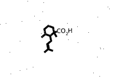 CC(C)=CCC1C(C)CCCC1(C)C(=O)O